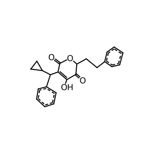 O=C1OC(CCc2ccccc2)C(=O)C(O)=C1C(c1ccccc1)C1CC1